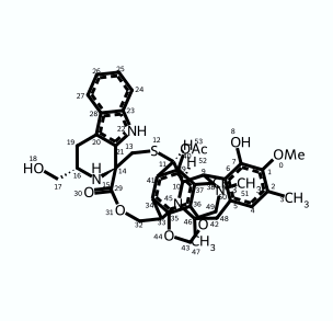 COc1c(C)cc2c(c1O)C1[C@@H]3[C@@H]4SC[C@]5(N[C@H](CO)Cc6c5[nH]c5ccccc65)C(=O)OCC(c5c6c(c(C)c(OC(C)=O)c54)OCO6)N3C(C)(C2)CN1C